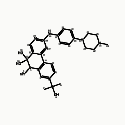 CCCN1c2cc(C(C)(C)O)ccc2-c2nc(Nc3ccc(N4CCN(C)CC4)cc3)ncc2S1(O)O